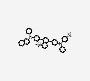 C[Si](C)(C)c1ccc(N(c2ccccc2)c2ccc(-c3ccc4c5c(cccc35)[Si](C)(C)c3cc(N(c5ccccc5)c5ccc6ccccc6c5)ccc3-4)cc2)cc1